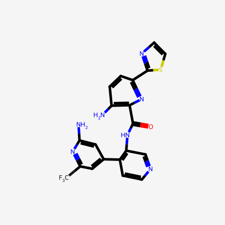 Nc1cc(-c2ccncc2NC(=O)c2nc(-c3nccs3)ccc2N)cc(C(F)(F)F)n1